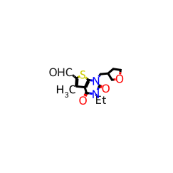 CCn1c(=O)c2c(C)c(C=O)sc2n(CC2CCOC2)c1=O